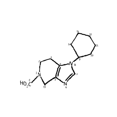 O=C(O)N1CCc2c(ncn2C2CCCCC2)C1